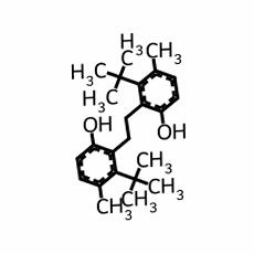 Cc1ccc(O)c(CCc2c(O)ccc(C)c2C(C)(C)C)c1C(C)(C)C